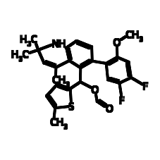 COc1cc(F)c(F)cc1-c1ccc2c(c1C(OC=O)c1ccc(C)s1)C(C)=CC(C)(C)N2